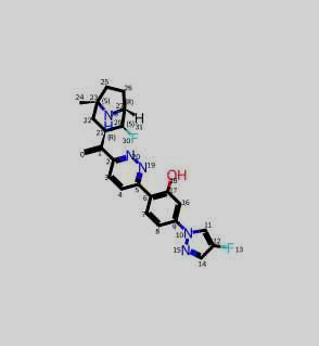 C=C(c1ccc(-c2ccc(-n3cc(F)cn3)cc2O)nn1)[C@H]1C[C@]2(C)CC[C@@H](N2)[C@H]1F